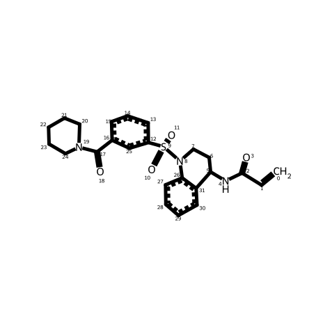 C=CC(=O)NC1CCN(S(=O)(=O)c2cccc(C(=O)N3CCCCC3)c2)c2ccccc21